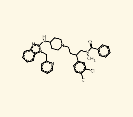 CN(CC(CCN1CCC(Nc2nc3ccccc3n2Cc2ccccn2)CC1)c1ccc(Cl)c(Cl)c1)C(=O)c1ccccc1